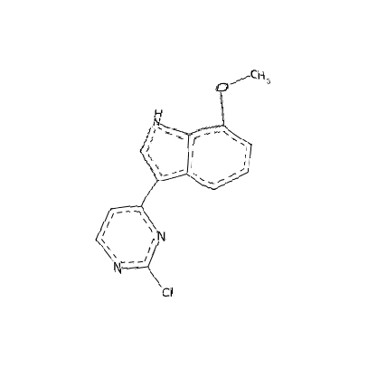 COc1cccc2c(-c3ccnc(Cl)n3)c[nH]c12